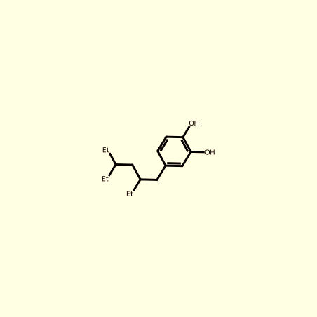 CCC(CC)CC(CC)Cc1ccc(O)c(O)c1